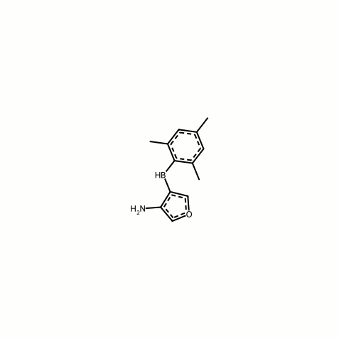 Cc1cc(C)c(Bc2cocc2N)c(C)c1